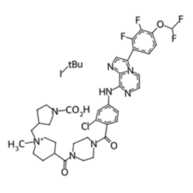 CC(C)(C)I.C[N+]1(CC2CCN(C(=O)O)C2)CCC(C(=O)N2CCN(C(=O)c3ccc(Nc4nccn5c(-c6ccc(OC(F)F)c(F)c6F)cnc45)cc3Cl)CC2)CC1